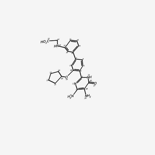 Nc1nc(-c2ccc(-c3cccc(NCC(=O)O)c3)cc2OC2CCCC2)[nH]c(=O)c1N